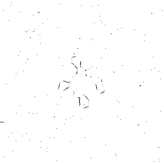 O=C(Cc1ccccn1)NC(=O)c1ccccc1CCCc1ccccc1OCc1ccccc1